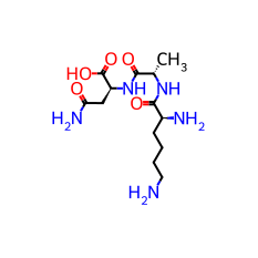 C[C@H](NC(=O)[C@@H](N)CCCCN)C(=O)N[C@@H](CC(N)=O)C(=O)O